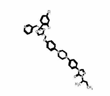 CCC(C)n1ncn(-c2ccc(N3CCN(c4ccc(OC[C@@H]5CO[C@@](Cc6cccnc6)(c6ccc(Cl)cc6Cl)O5)cc4)CC3)cc2)c1=O